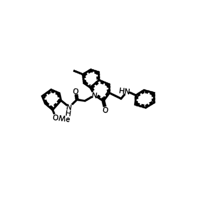 COc1ccccc1NC(=O)Cn1c(=O)c(CNc2ccccc2)cc2ccc(C)cc21